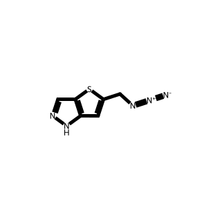 [N-]=[N+]=NCc1cc2[nH]ncc2s1